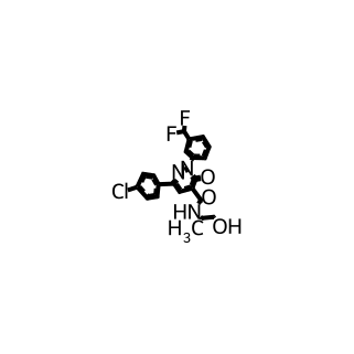 CC(CO)NC(=O)c1cc(-c2ccc(Cl)cc2)nn(-c2cccc(C(F)F)c2)c1=O